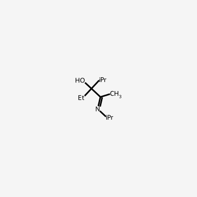 CCC(O)(C(C)=NC(C)C)C(C)C